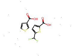 O=C(O)c1ccc(C(F)F)s1.O=C(O)c1ccsc1